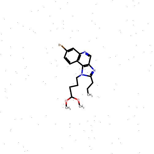 CCCc1nc2cnc3cc(Br)ccc3c2n1CCCC(OC)OC